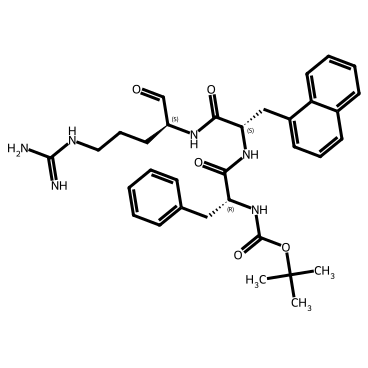 CC(C)(C)OC(=O)N[C@H](Cc1ccccc1)C(=O)N[C@@H](Cc1cccc2ccccc12)C(=O)N[C@H](C=O)CCCNC(=N)N